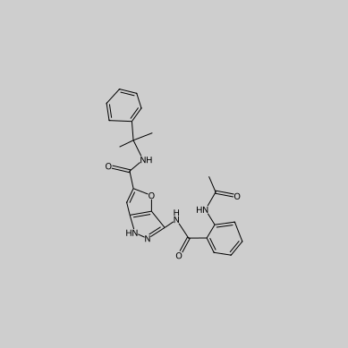 CC(=O)Nc1ccccc1C(=O)Nc1n[nH]c2cc(C(=O)NC(C)(C)c3ccccc3)oc12